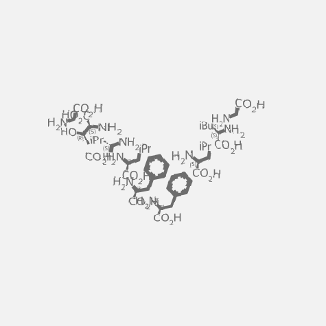 CC(C)C[C@H](N)C(=O)O.CC(C)C[C@H](N)C(=O)O.CC(C)[C@H](N)C(=O)O.CC[C@H](C)[C@H](N)C(=O)O.C[C@@H](O)[C@H](N)C(=O)O.NCC(=O)O.NCC(=O)O.N[C@@H](Cc1ccccc1)C(=O)O.N[C@@H](Cc1ccccc1)C(=O)O